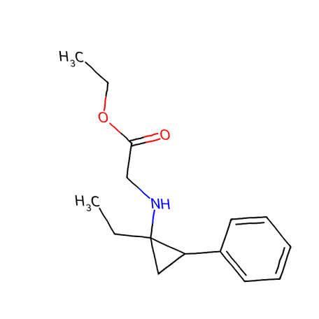 CCOC(=O)CNC1(CC)CC1c1ccccc1